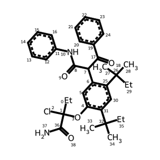 CCC(Cl)(Oc1cc(C(C(=O)Nc2ccccc2)C(=O)c2ccccc2)c(C(C)(C)CC)cc1C(C)(C)CC)C(N)=O